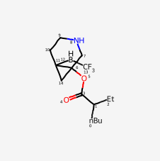 CCCCC(CC)C(=O)OC12CNCCC1(BC(F)(F)F)C2